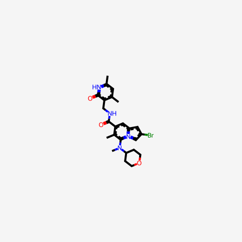 Cc1cc(C)c(CNC(=O)c2cc3cc(Br)cn3c(N(C)C3CCOCC3)c2C)c(=O)[nH]1